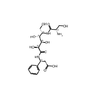 N[C@@H](CO)C(=O)N[C@@H](CO)[C@@H](O)[C@@H](O)[C@H](O)C(=O)N[C@@H](CC(=O)O)c1ccccc1